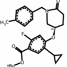 Cc1ccc(CN2C[C@H](Oc3cc(F)c(C(=O)OC(C)(C)C)cc3C3CC3)CCC2=O)cc1